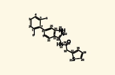 Cc1cccc(C)c1-c1ccc2c(NC(=O)Cc3cccs3)n[nH]c2c1